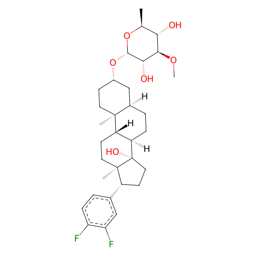 CO[C@H]1[C@H](O)[C@H](O[C@H]2CC[C@@]3(C)[C@H](CC[C@@H]4[C@@H]3CC[C@]3(C)[C@@H](c5ccc(F)c(F)c5)CC[C@]43O)C2)O[C@@H](C)[C@@H]1O